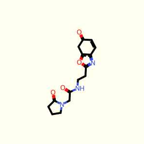 O=C1C=Cc2nc(CCNC(=O)CN3CCCC3=O)oc2C1